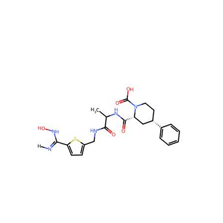 [H]/N=C(\NO)c1ccc(CNC(=O)C(C)NC(=O)[C@H]2C[C@@H](c3ccccc3)CCN2C(=O)O)s1